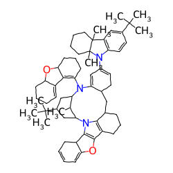 CC1C2CC(C(C)(C)C)CC1n1c3c(c4c1C1CC=CC=C1O4)CCCC3CC1CC=C(N3c4ccc(C(C)(C)C)cc4C4(C)CCCCC34C)C=C1N2C1=C2C3=CCCCC3OC2CCC1